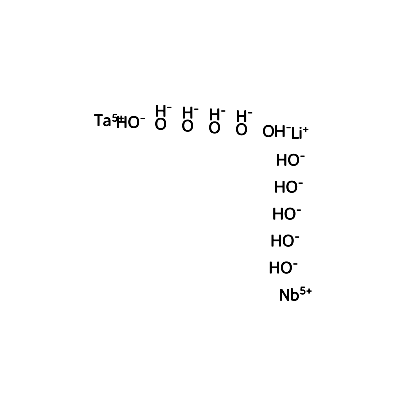 [Li+].[Nb+5].[OH-].[OH-].[OH-].[OH-].[OH-].[OH-].[OH-].[OH-].[OH-].[OH-].[OH-].[Ta+5]